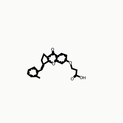 Cc1ccccc1C=C1CCc2c1oc1cc(OCCC(=O)O)ccc1c2=O